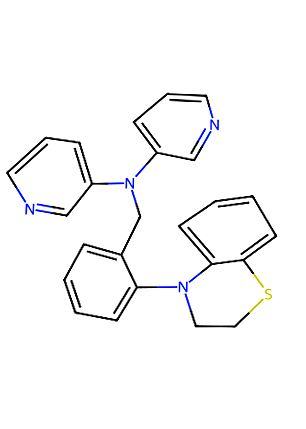 c1cncc(N(Cc2ccccc2N2CCSc3ccccc32)c2cccnc2)c1